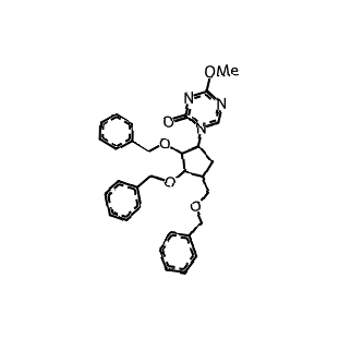 COc1ncn(C2CC(COCc3ccccc3)C(OCc3ccccc3)C2OCc2ccccc2)c(=O)n1